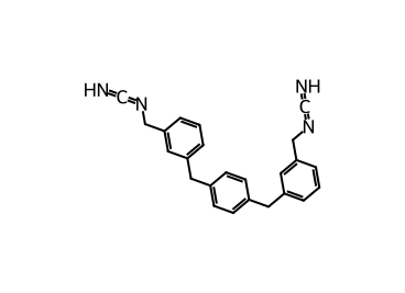 N=C=NCc1cccc(Cc2ccc(Cc3cccc(CN=C=N)c3)cc2)c1